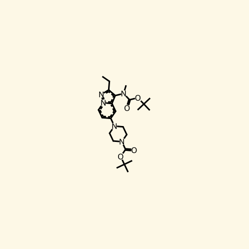 CCc1nn2ccc(N3CCN(C(=O)OC(C)(C)C)CC3)cc2c1N(C)C(=O)OC(C)(C)C